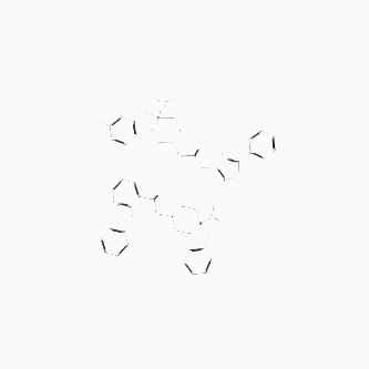 CN(C)C1(Cc2ccccc2)CCC(NC(=O)c2cccnc2Oc2ccccc2)CC1.Cc1sc(-c2ccccc2)nc1CC(=O)NC1CCC(Cc2cccc(F)c2)(N(C)C)CC1